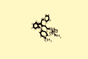 CN1CCC(n2c(CCNS(N)(=O)=O)c(CN3CCCC3)c3ccccc32)CC1